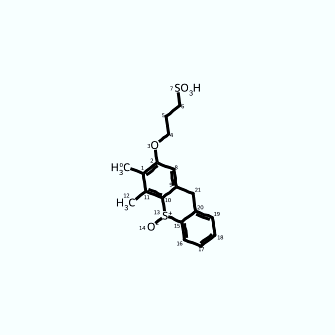 Cc1c(OCCCS(=O)(=O)O)cc2c(c1C)[S+]([O-])c1ccccc1C2